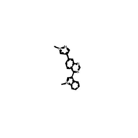 Cn1cc(-c2ccc3c(-c4cn(C)c5ccccc45)ncnc3c2)cn1